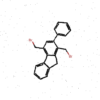 BrCc1cc(-c2ccccc2)c(CBr)c2c1-c1ccccc1C2